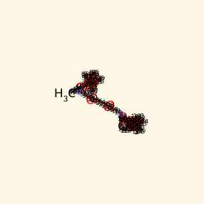 CCCCCC[C@H](C/C=C\CCCCCCCC(=O)OCCCCCCCCCCOC(=O)CCCCCCC/C=C\C[C@@H](CCCCCC)OC(=O)CCCC(=O)O[C@@H]1OC(COCc2ccccc2)[C@H](OCc2ccccc2)C(OCc2ccccc2)C1OCc1ccccc1)OC(=O)CCCC(=O)O[C@@H]1OC(COCc2ccccc2)[C@H](OCc2ccccc2)C(OCc2ccccc2)C1OCc1ccccc1